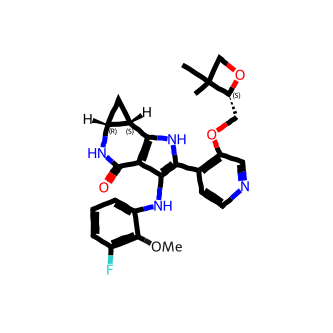 COc1c(F)cccc1Nc1c(-c2ccncc2OC[C@H]2OCC2(C)C)[nH]c2c1C(=O)N[C@@H]1C[C@H]21